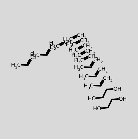 C=C.C=C.C=C.C=C.C=C.C=C.C=CC.C=CC.C=CC.C=CC.C=CC.OCCO.OCCO